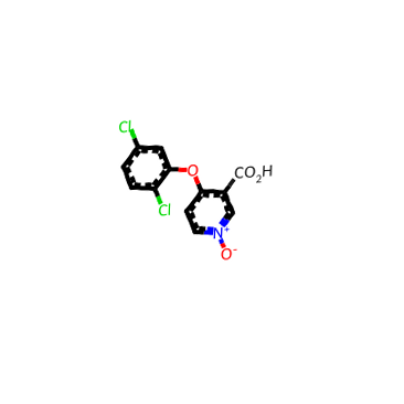 O=C(O)c1c[n+]([O-])ccc1Oc1cc(Cl)ccc1Cl